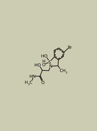 CNC(=O)C(O)CN1C(C)c2cc(Br)ccc2S1(O)O